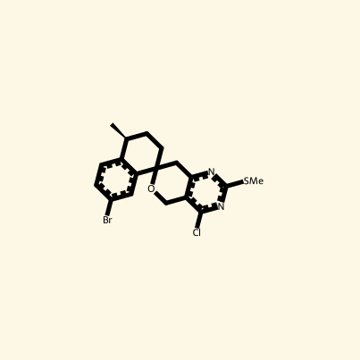 CSc1nc(Cl)c2c(n1)CC1(CC[C@H](C)c3ccc(Br)cc31)OC2